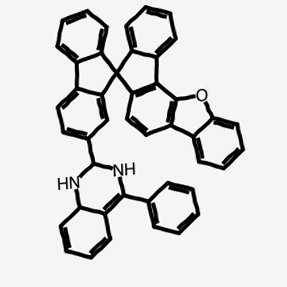 C1=CC2=C(c3ccccc3)NC(c3ccc4c(c3)C3(c5ccccc5-4)c4ccccc4-c4c3ccc3c4oc4ccccc43)NC2C=C1